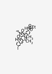 C=C1C=C(Nc2ccc(I)cc2F)c2c(n(-c3cccc(NS(=O)(=O)CC)c3)c(=O)n(C3CC3)c2=O)N1C